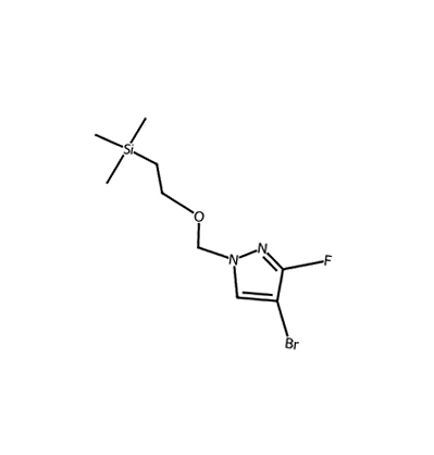 C[Si](C)(C)CCOCn1cc(Br)c(F)n1